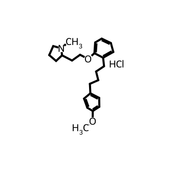 COc1ccc(CCCCc2ccccc2OCCC2CCCN2C)cc1.Cl